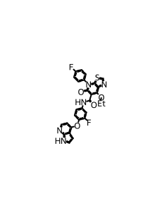 CCOc1c(C(=O)Nc2ccc(Oc3ccnc4[nH]ccc34)c(F)c2)c(=O)n(-c2ccc(F)cc2)c2scnc12